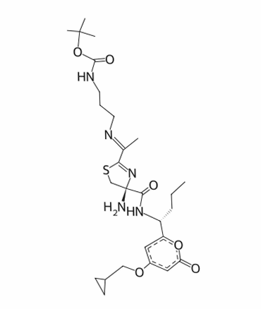 CCC[C@@H](NC(=O)[C@]1(N)CSC(/C(C)=N/CCCNC(=O)OC(C)(C)C)=N1)c1cc(OCC2CC2)cc(=O)o1